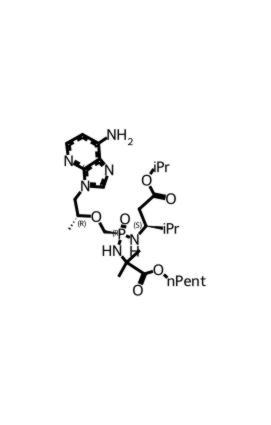 CCCCCOC(=O)C(C)(C)N[P@@](=O)(CO[C@H](C)Cn1cnc2c(N)ccnc21)N[C@@H](CC(=O)OC(C)C)C(C)C